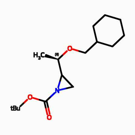 C[C@@H](OCC1CCCCC1)C1CN1C(=O)OC(C)(C)C